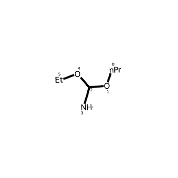 CCCOC([NH])OCC